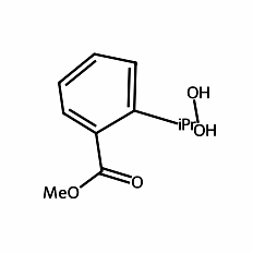 COC(=O)c1ccccc1C(C)C.OO